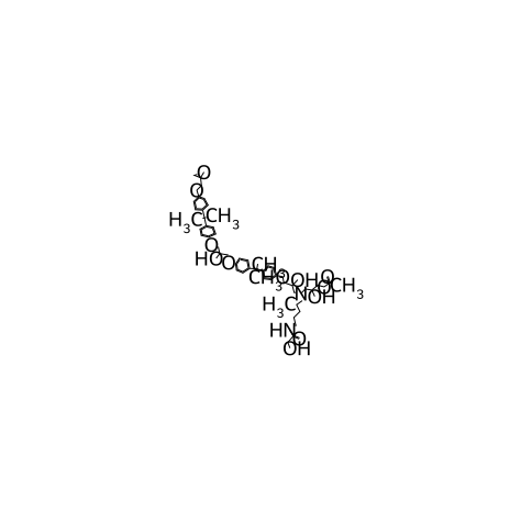 CC(=O)OCC(O)CN(CC(C)CCCNC(=O)CO)CC(O)COc1ccc(C(C)(C)c2ccc(OCC(O)COc3ccc(C(C)(C)c4ccc(OCC5CO5)cc4)cc3)cc2)cc1